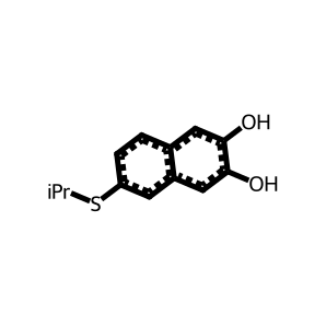 CC(C)Sc1ccc2cc(O)c(O)cc2c1